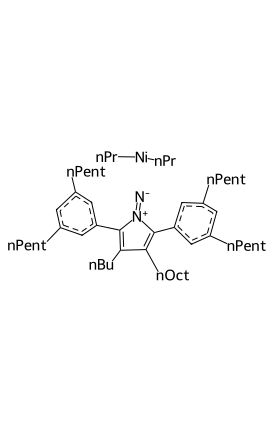 CCCCCCCCC1=C(c2cc(CCCCC)cc(CCCCC)c2)[N+](=[N-])C(c2cc(CCCCC)cc(CCCCC)c2)=C1CCCC.CC[CH2][Ni][CH2]CC